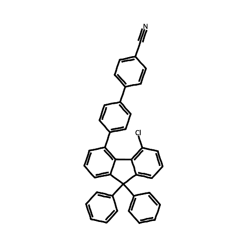 N#Cc1ccc(-c2ccc(-c3cccc4c3-c3c(Cl)cccc3C4(c3ccccc3)c3ccccc3)cc2)cc1